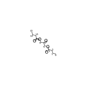 CCCC(=O)OCC(=O)COC(=O)CCC